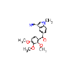 COc1ccc(C(=O)c2ccc3c(c2)c(C#N)cn3C)c(OC)c1OC